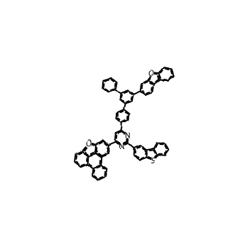 c1ccc(-c2cc(-c3ccc(-c4cc(-c5cc6oc7cccc8c9ccccc9c(c5)c6c78)nc(-c5ccc6sc7ccccc7c6c5)n4)cc3)cc(-c3ccc4c(c3)oc3ccccc34)c2)cc1